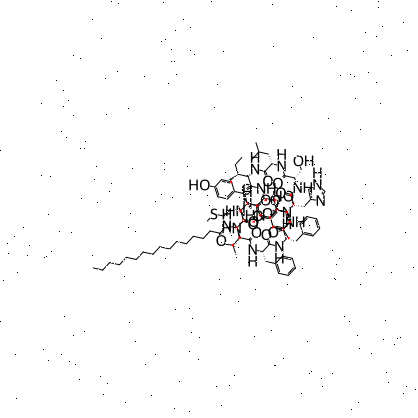 CCCCCCCCCCCCCCCC(=O)N[C@H](CC(C)C)C(=O)N[C@@H](Cc1ccc(O)cc1)C(=O)N[C@@H](CC(C)C)C(=O)N[C@@H](Cc1c[nH]cn1)C(=O)N[C@@H](CO)C(=O)N[C@@H](CC(C)C)C(=O)N[C@H](C(=O)N[C@@H](Cc1ccccc1)C(=O)N[C@@H](CCSC)C(=O)N[C@@H](C)C(=O)N[C@@H](Cc1ccccc1)C(=O)N[C@@H](Cc1ccccc1)C(=O)N[C@@H](CO)C(C)=O)[C@@H](C)CC